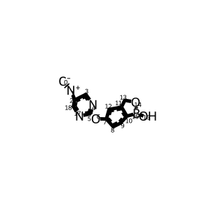 [C-]#[N+]c1cnc(Oc2ccc3c(c2)COB3O)nc1